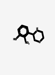 O=[N+]([O-])c1c(O)cccc1C1COCCN1